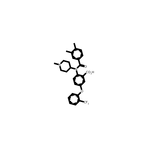 Cc1ccc(C(=O)N(c2ccc(Oc3ccccc3C(F)(F)F)cc2C(=O)O)C2CCN(C)CC2)cc1C